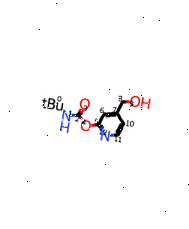 CC(C)(C)NC(=O)Oc1cc(CO)ccn1